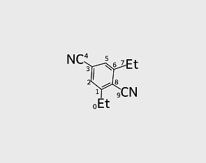 CCc1cc(C#N)cc(CC)c1C#N